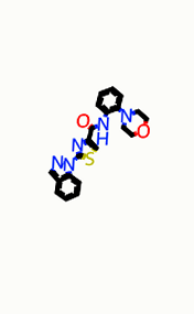 O=C(Nc1ccccc1N1CCOCC1)c1csc(-n2ncc3ccccc32)n1